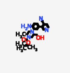 C[C@H]1CN(c2cc(-c3cnccc3C#N)ccc2N)C(CO)CN1C(=O)OC(C)(C)C